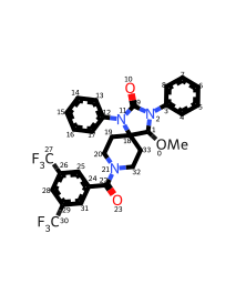 COC1N(c2ccccc2)C(=O)N(c2ccccc2)C12CCN(C(=O)c1cc(C(F)(F)F)cc(C(F)(F)F)c1)CC2